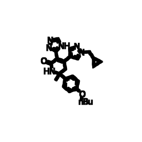 CCCCOc1ccc(C2(C)CC(c3cnn(CC4CC4)c3)=C(c3nnc[nH]3)C(=O)N2)cc1